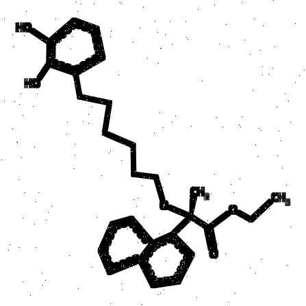 CCOC(=O)[C@@](C)(OCCCCCCc1cccc(O)c1O)c1cccc2ccccc12